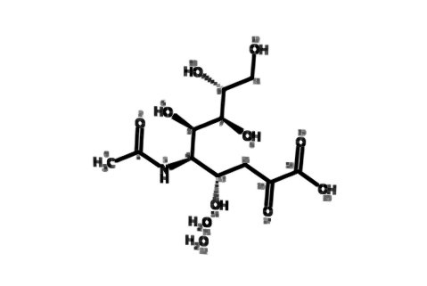 CC(=O)N[C@@H]([C@@H](O)[C@H](O)[C@H](O)CO)[C@@H](O)CC(=O)C(=O)O.O.O